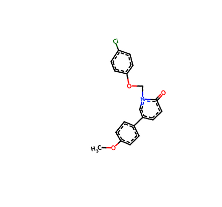 COc1ccc(-c2ccc(=O)n(COc3ccc(Cl)cc3)c2)cc1